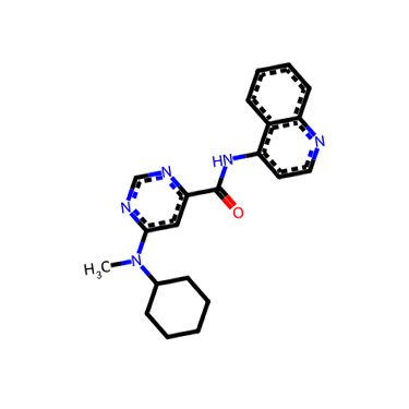 CN(c1cc(C(=O)Nc2ccnc3ccccc23)ncn1)C1CCCCC1